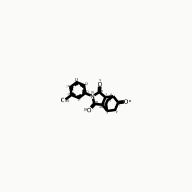 O=C1CC2CCC1C1C(=O)N(c3cccc(Cl)c3)C(=O)C21